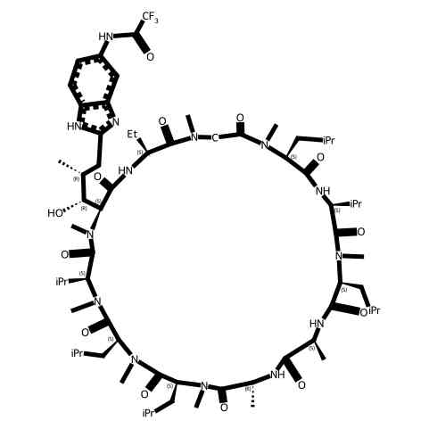 CC[C@@H]1NC(=O)[C@H]([C@H](O)[C@H](C)Cc2nc3cc(NC(=O)C(F)(F)F)ccc3[nH]2)N(C)C(=O)[C@H](C(C)C)N(C)C(=O)[C@H](CC(C)C)N(C)C(=O)[C@H](CC(C)C)N(C)C(=O)[C@@H](C)NC(=O)[C@H](C)NC(=O)[C@H](CC(C)C)N(C)C(=O)[C@H](C(C)C)NC(=O)[C@H](CC(C)C)N(C)C(=O)CN(C)C1=O